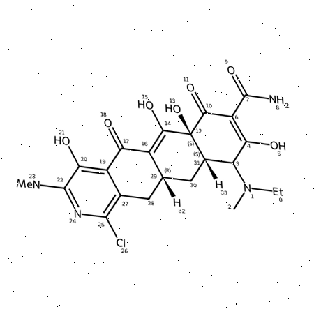 CCN(C)C1C(O)=C(C(N)=O)C(=O)[C@@]2(O)C(O)=C3C(=O)c4c(O)c(NC)nc(Cl)c4C[C@H]3C[C@@H]12